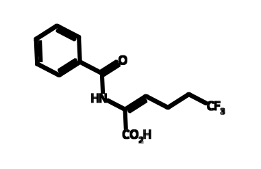 O=C(O)C(=CCCC(F)(F)F)NC(=O)c1ccccc1